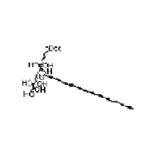 CC#CC#CC#CC#CC#CC#CC#CC#CC#CC#CC#CC#CC(=O)N[C@@H](COCC(O)[C@@H](O)[C@@H](O)CO)[C@H](O)C(O)CCCCCCCCCCCCCC